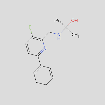 CC(C)[C@@](C)(O)NCc1nc(C2=CC[CH]C=C2)ccc1F